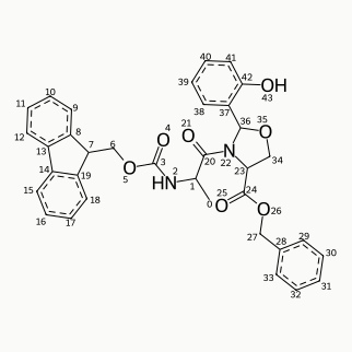 CC(NC(=O)OCC1c2ccccc2-c2ccccc21)C(=O)N1C(C(=O)OCc2ccccc2)COC1c1ccccc1O